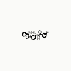 NC1c2ccccc2ON1c1cccc(CNC(=O)c2cccc(F)c2)c1